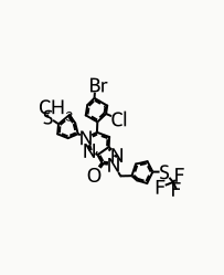 CSc1ccc(-n2nc3c(=O)n(Cc4ccc(SC(F)(F)F)cc4)nc-3cc2-c2ccc(Br)cc2Cl)cc1